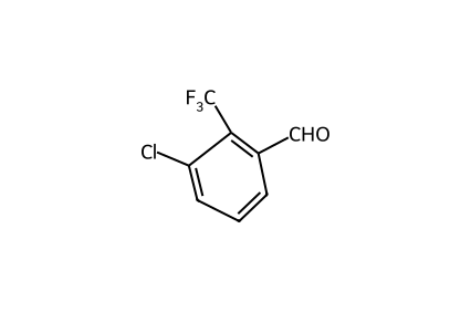 O=Cc1cccc(Cl)c1C(F)(F)F